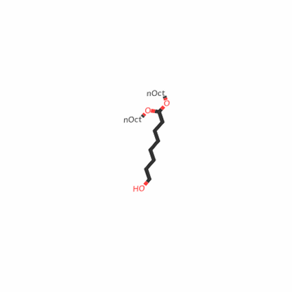 CCCCCCCCOC(CCCCCCCO)OCCCCCCCC